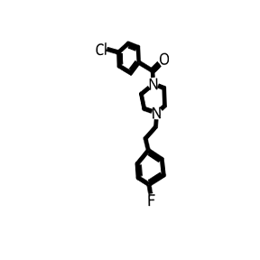 O=C(c1ccc(Cl)cc1)N1CCN(CCc2ccc(F)cc2)CC1